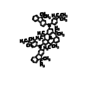 CC(C)(C)C1=CC=C(N(c2ccc3c(c2)-c2ccccc2C3(C)C)c2cc3c4c(c2)C(C)(C)c2cc(N(c5ccc(C(C)(C)C)cc5)c5ccc6c(c5)C(C)(C)c5ccccc5-6)cc5c2N4c2c(cccc2C5(C)C)C3(C)C)CC1